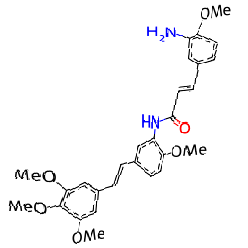 COc1ccc(/C=C/C(=O)Nc2cc(/C=C/c3cc(OC)c(OC)c(OC)c3)ccc2OC)cc1N